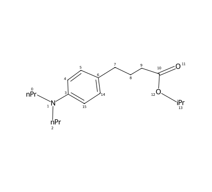 CCCN(CCC)c1ccc(CCCC(=O)OC(C)C)cc1